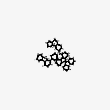 c1ccc(C2(c3ccccc3)c3ccccc3-c3c(N(c4ccc(-c5cccc6c5oc5ccccc56)cc4)c4ccc5ccc6ccccc6c5c4)cccc32)cc1